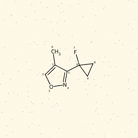 Cc1conc1C1(F)CC1